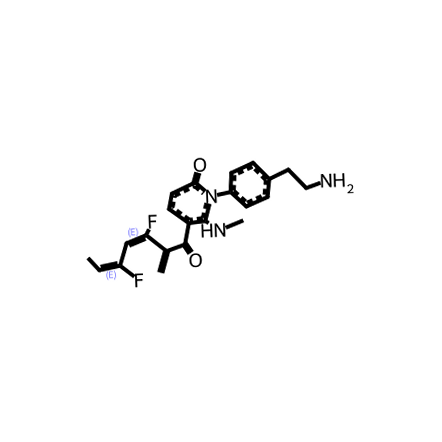 C=C(C(=O)c1ccc(=O)n(-c2ccc(CCN)cc2)c1NC)/C(F)=C\C(F)=C/C